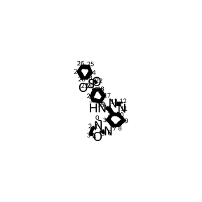 CN1CCOC1=Nc1ccc2ncnc(Nc3ccc(S(=O)(=O)c4ccccc4)cc3)c2c1